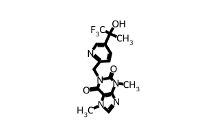 Cn1cnc2c1c(=O)n(Cc1ccc(C(C)(O)C(F)(F)F)cn1)c(=O)n2C